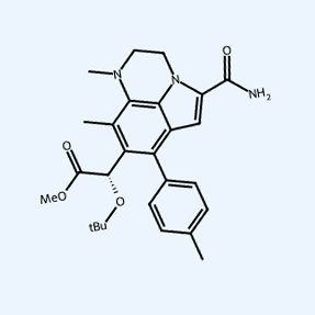 COC(=O)[C@@H](OC(C)(C)C)c1c(C)c2c3c(cc(C(N)=O)n3CCN2C)c1-c1ccc(C)cc1